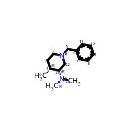 C[C@@H]1CCN(Cc2ccccc2)C[C@@H]1N(C)C